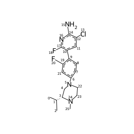 CC(C)[C@@H]1CN(c2ccc(-c3cc(Cl)c(N)nc3F)c(F)c2)CCN1C